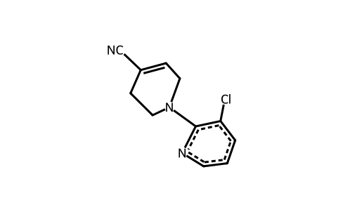 N#CC1=CCN(c2ncccc2Cl)CC1